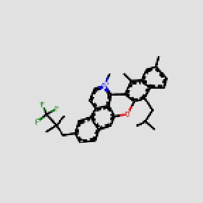 Cc1ccc2c(CC(C)C)c3c(c(C)c2c1)-c1c2c(cc4ccc(CC(C)(C)C(F)(F)F)cc4c2cc[n+]1C)O3